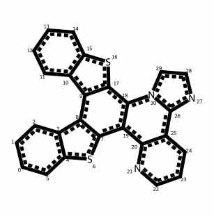 c1ccc2c(c1)sc1c2c2c3ccccc3sc2c2c1c1ncccc1c1nccn12